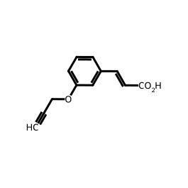 C#CCOc1cccc(C=CC(=O)O)c1